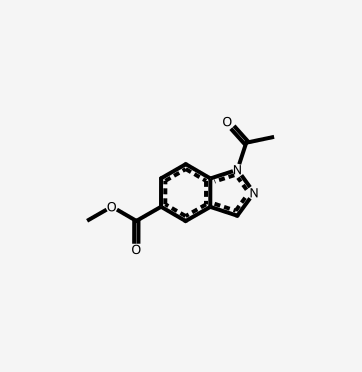 COC(=O)c1ccc2c(cnn2C(C)=O)c1